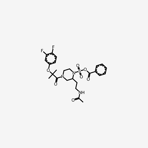 CC(=O)NCCC1CN(C(=O)C(C)(C)Oc2ccc(F)c(F)c2)CCN1S(=O)(=O)OC(=O)c1ccccc1